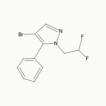 FC(F)Cn1ncc(Br)c1-c1ccccc1